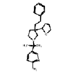 Cc1ccc(C(C)(C)N2CCC(CCc3ccccc3)(C3CCCO3)C2)cn1